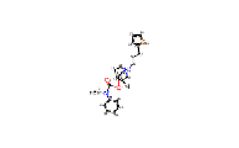 CCCCN(C(=O)O[C@H]1C[N+]2(CCCc3cccs3)CCC1CC2)c1ccccc1